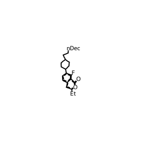 CCCCCCCCCCCCC1CCC(c2ccc3cc(CC)oc(=O)c3c2F)CC1